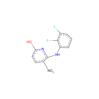 O=[N+]([O-])c1ccc(O)nc1Nc1cccc(F)c1F